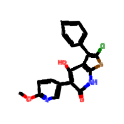 COc1ccc(-c2c(O)c3c(-c4ccccc4)c(Cl)sc3[nH]c2=O)cn1